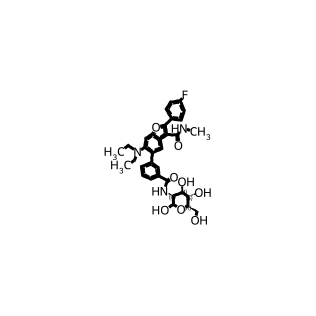 CCN(CC)c1cc2oc(-c3ccc(F)cc3)c(C(=O)NC)c2cc1-c1cccc(C(=O)N[C@H]2C(O)O[C@H](CO)[C@@H](O)[C@@H]2O)c1